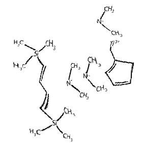 C[N-]C.C[N-]C.C[N-]C.C[Si](C)(C)C=CC=C[Si](C)(C)C.[Ti+3][C]1=CC=CC1